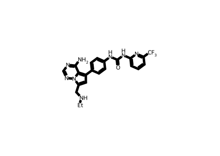 CCNCc1cc(-c2ccc(NC(=O)Nc3cccc(C(F)(F)F)n3)cc2)c2c(N)ncnn12